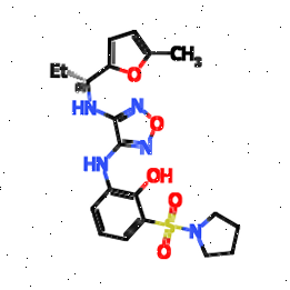 CC[C@@H](Nc1nonc1Nc1cccc(S(=O)(=O)N2CCCC2)c1O)c1ccc(C)o1